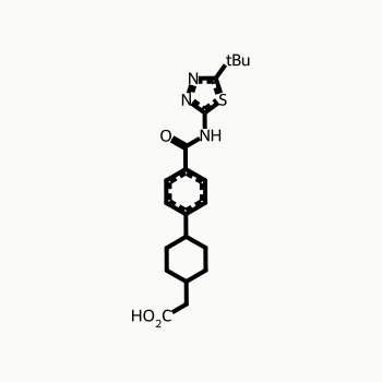 CC(C)(C)c1nnc(NC(=O)c2ccc(C3CCC(CC(=O)O)CC3)cc2)s1